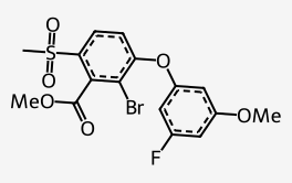 COC(=O)c1c(S(C)(=O)=O)ccc(Oc2cc(F)cc(OC)c2)c1Br